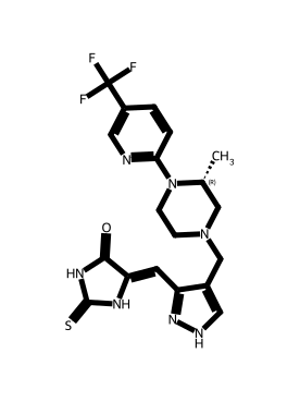 C[C@@H]1CN(Cc2c[nH]nc2C=C2NC(=S)NC2=O)CCN1c1ccc(C(F)(F)F)cn1